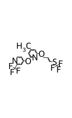 Cc1cc(OCC=CSC(F)(F)F)nc(Oc2ccnc(C(F)(F)F)c2)c1